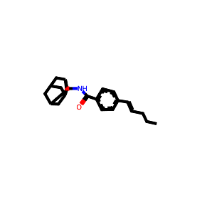 CCC/C=C/c1ccc(C(=O)NC2C3CC4CC(C3)CC2C4)cc1